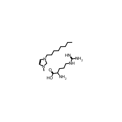 CCCCCCCCN1C=CN(C)C1.N=C(N)NCCCC(N)C(=O)O